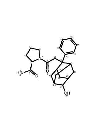 NC(=O)[C@H]1CCCN1C(=O)CC1(c2ccccc2)C2CC3CC1CC(C2)C3O